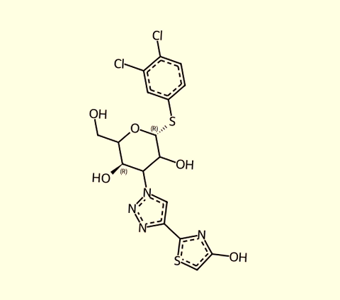 OCC1O[C@H](Sc2ccc(Cl)c(Cl)c2)C(O)C(n2cc(-c3nc(O)cs3)nn2)[C@H]1O